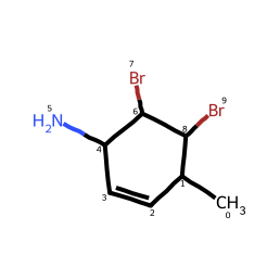 CC1C=CC(N)C(Br)C1Br